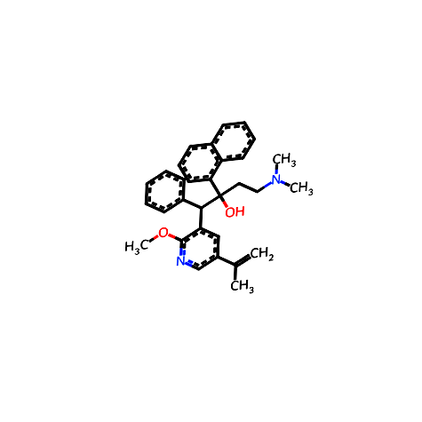 C=C(C)c1cnc(OC)c(C(c2ccccc2)C(O)(CCN(C)C)c2cccc3ccccc23)c1